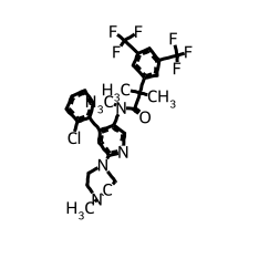 CN1CCN(c2cc(-c3ccccc3Cl)c(N(C)C(=O)C(C)(C)c3cc(C(F)(F)F)cc(C(F)(F)F)c3)cn2)CC1